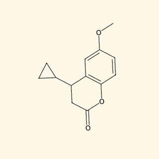 COc1ccc2c(c1)C(C1CC1)CC(=O)O2